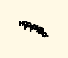 C=C1C(N2CCC(c3ccc(O)c(F)c3)C(F)C2)CCON1Cc1ccc(C)cc1